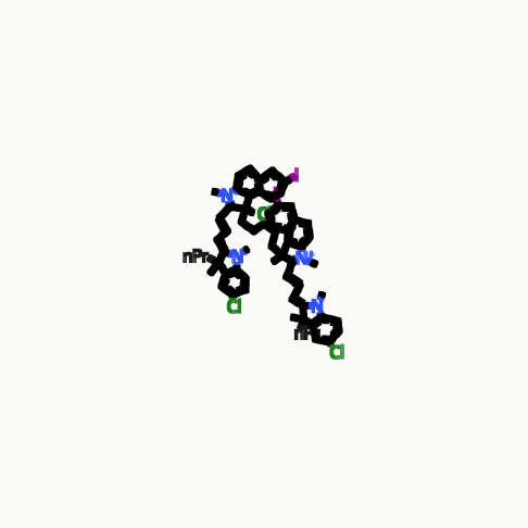 CCCC1(C)C(=CC=CC2=[N+](C)c3ccc4cc(I)ccc4c3C2(C)CCC(Cl)CCC2(C)C(C=CC=C3N(C)c4ccc(Cl)cc4C3(C)CCC)=[N+](C)c3ccc4cc(I)ccc4c32)N(C)c2ccc(Cl)cc21